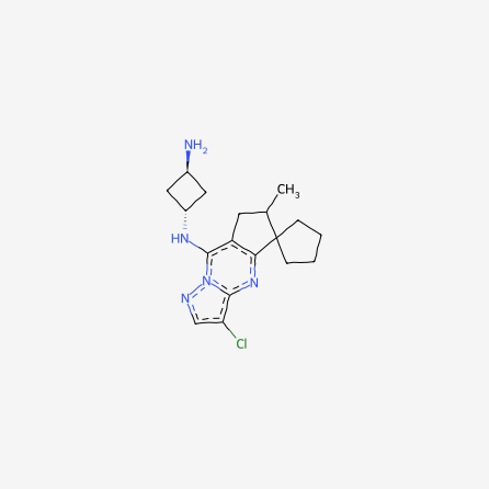 CC1Cc2c(nc3c(Cl)cnn3c2N[C@H]2C[C@H](N)C2)C12CCCC2